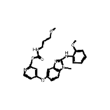 COCCCNC(=O)Oc1cc(Oc2ccc3c(c2)nc(Nc2ccccc2OC)n3C)ccn1